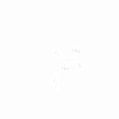 C#CCNC(=O)C(Br)CCCC